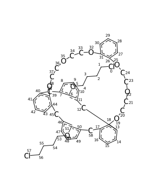 ClCCCCOc1c2cccc1Cc1cccc3c1OCCOCCOc1ccccc1OCCOCCOc1c(cccc1Cc1cccc(c1OCCCCCl)C3)C2